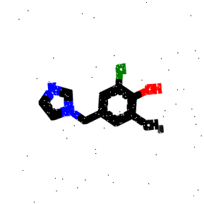 Cc1cc(Cn2ccnc2)cc(Cl)c1O